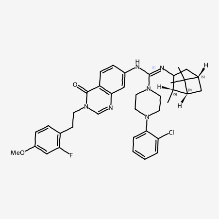 COc1ccc(CCn2cnc3cc(N/C(=N/C4C[C@@H]5C[C@H]([C@@H]4C)C5(C)C)N4CCN(c5ccccc5Cl)CC4)ccc3c2=O)c(F)c1